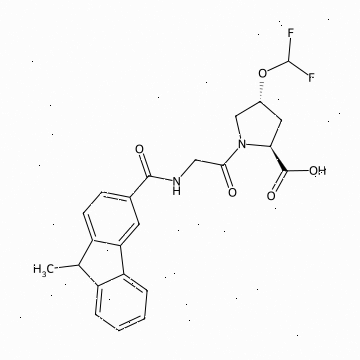 CC1c2ccccc2-c2cc(C(=O)NCC(=O)N3C[C@H](OC(F)F)C[C@H]3C(=O)O)ccc21